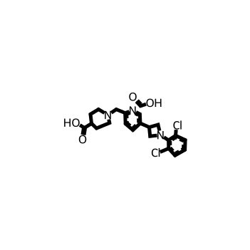 O=C(O)C1CCN(Cc2ccc(C3CN(c4c(Cl)cccc4Cl)C3)cn2)CC1.O=CO